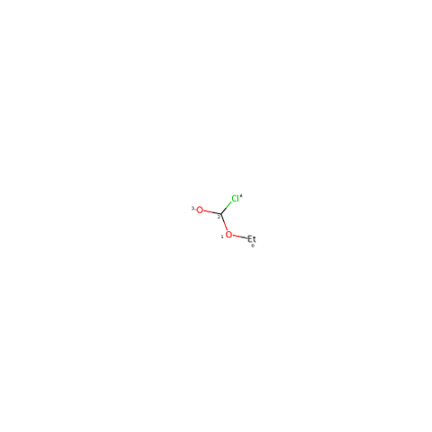 CCOC([O])Cl